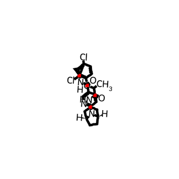 CC(Oc1ccc(Cl)cc1Cl)C(=O)N[C@H]1C[C@H]2CC[C@@H](C1)N2c1ccc(C(=O)NC2CC2)cn1